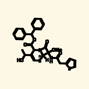 COC1(NC(=O)Cc2cccs2)C(=O)N2C(C(=O)OC(c3ccccc3)c3ccccc3)C(C(C)O)=CS[C@H]21